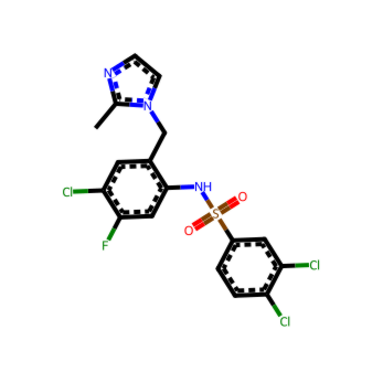 Cc1nccn1Cc1cc(Cl)c(F)cc1NS(=O)(=O)c1ccc(Cl)c(Cl)c1